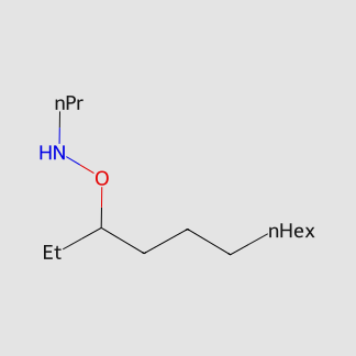 CCCCCCCCCC(CC)ONCCC